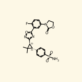 CC1(C)[C@@H](c2ccc(S(N)(=O)=O)cc2)[C@@H]1c1noc(-c2cc(N3CCOC3=O)ccc2F)n1